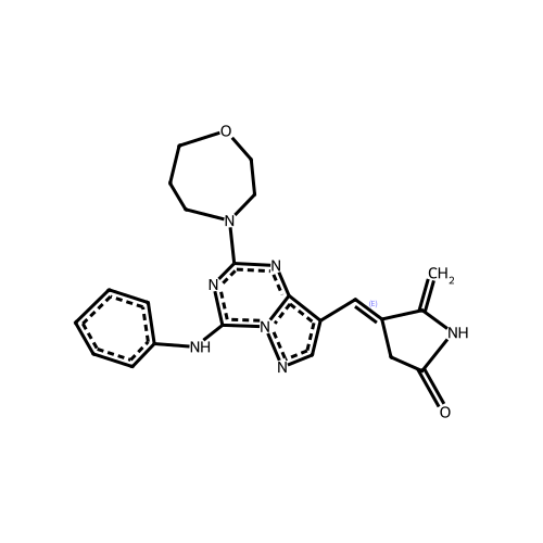 C=C1NC(=O)C/C1=C\c1cnn2c(Nc3ccccc3)nc(N3CCCOCC3)nc12